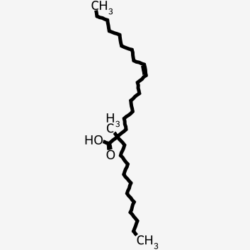 CCCCCCCC/C=C\CCCCCCC(C)(CCCCCCCCCCC)C(=O)O